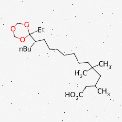 CCCCC(CCCCCCCC(C)(C)CC(C)CC(=O)O)C1(CC)OCOCO1